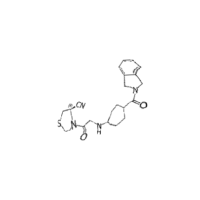 N#C[C@@H]1CSCN1C(=O)CNC1CCC(C(=O)N2Cc3ccccc3C2)CC1